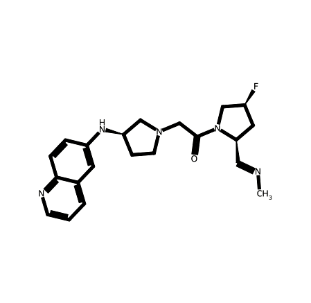 CN=C[C@@H]1C[C@H](F)CN1C(=O)CN1CC[C@@H](Nc2ccc3ncccc3c2)C1